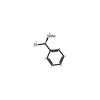 [CH2-][NH2+][C@H](CC)c1ccccc1